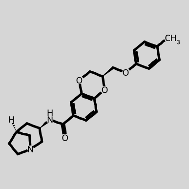 Cc1ccc(OC[C@@H]2COc3cc(C(=O)N[C@@H]4C[C@@H]5CCN(C5)C4)ccc3O2)cc1